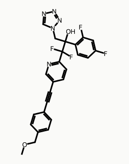 COCc1ccc(C#Cc2ccc(C(F)(F)C(O)(Cn3cnnn3)c3ccc(F)cc3F)nc2)cc1